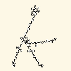 [N-]=[N+]=NCCOCCOCCCNCCCC(=O)N[C@@H](CCCCNC(=O)CCOCCOCCN=[N+]=[N-])CN[C@@H](CCCCNC(=O)CCOCCOCCN=[N+]=[N-])C(=O)NCCOCCOCCOCCOCCC(=O)Oc1c(F)c(F)c(F)c(F)c1F